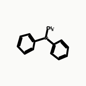 [CH2][Si](c1ccccc1)c1ccccc1